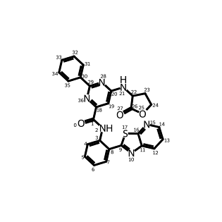 O=C(Nc1ccccc1-c1nc2cccnc2s1)c1cc(NC2CCOC2=O)nc(-c2ccccc2)n1